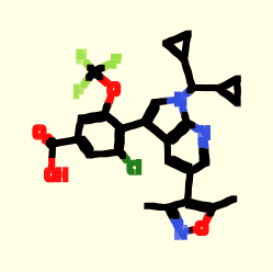 Cc1noc(C)c1-c1cnc2c(c1)c(-c1c(Cl)cc(C(=O)O)cc1OC(F)(F)F)cn2C(C1CC1)C1CC1